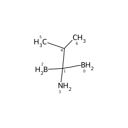 BC(B)(N)C(C)C